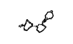 Nc1ccc(N2CCC=C(N3CCOCC3)C2)cc1